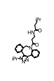 CC(C)CCC(=O)NCCC(=O)N1Cc2ccccc2-c2c(nnn2C(C)C)-c2ccccc21